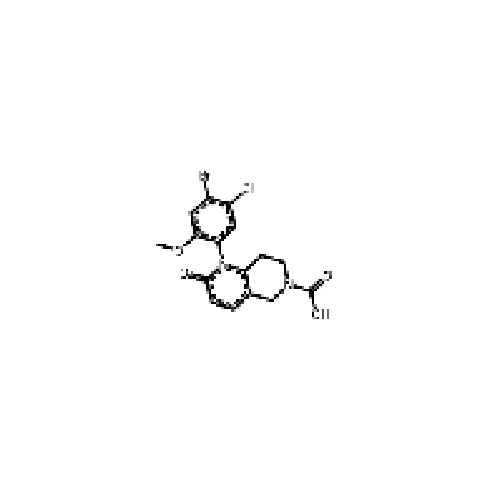 COc1cc(Br)c(Cl)cc1-n1c2c(ccc1=O)CN(C(=O)O)CC2